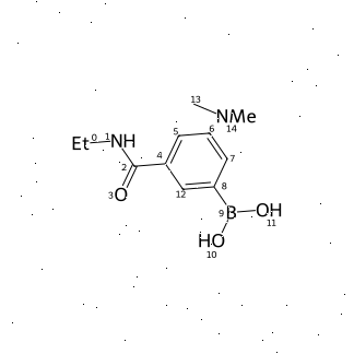 CCNC(=O)c1cccc(B(O)O)c1.CNC